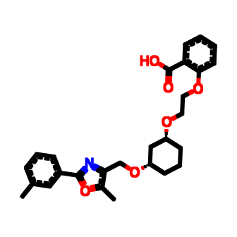 Cc1cccc(-c2nc(CO[C@H]3CCC[C@@H](OCCOc4ccccc4C(=O)O)C3)c(C)o2)c1